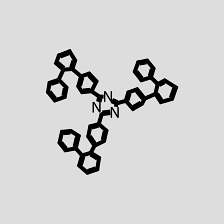 c1ccc(-c2ccccc2-c2ccc(-c3nc(-c4ccc(-c5ccccc5-c5ccccc5)cc4)nc(-c4ccc(-c5ccccc5-c5ccccc5)cc4)n3)cc2)cc1